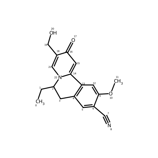 CCC1Cc2cc(C#N)c(OC)cc2-c2cc(=O)c(CO)cn21